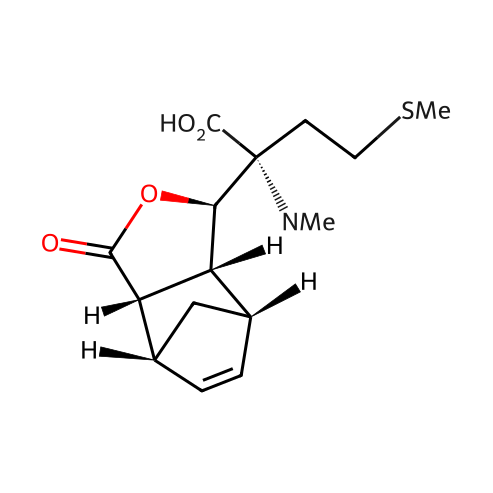 CN[C@@](CCSC)(C(=O)O)[C@@H]1OC(=O)[C@@H]2[C@H]1[C@@H]1C=C[C@H]2C1